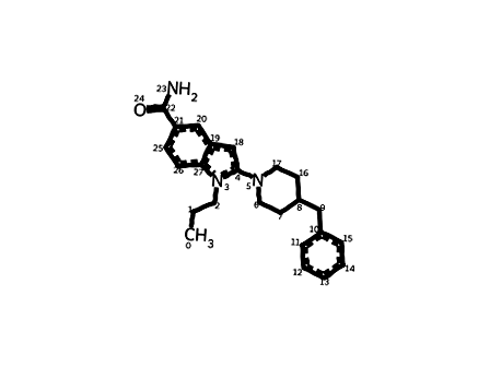 CCCn1c(N2CCC(Cc3ccccc3)CC2)cc2cc(C(N)=O)ccc21